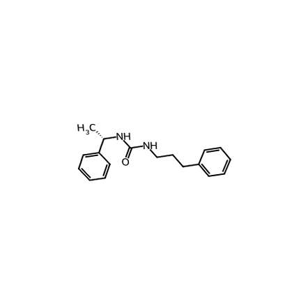 C[C@H](NC(=O)NCCCc1ccccc1)c1ccccc1